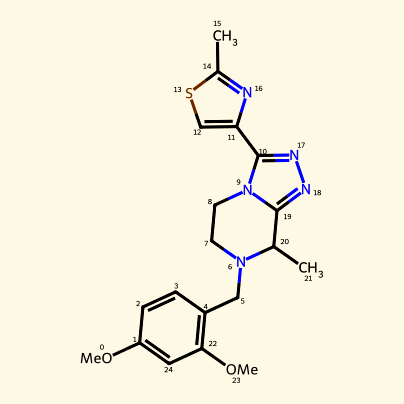 COc1ccc(CN2CCn3c(-c4csc(C)n4)nnc3C2C)c(OC)c1